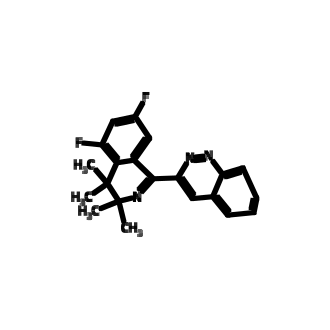 CC1(C)N=C(c2cc3ccccc3nn2)c2cc(F)cc(F)c2C1(C)C